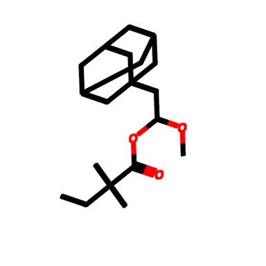 CCC(C)(C)C(=O)OC(CC12CC3CC(CC(C3)C1)C2)OC